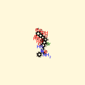 COC1=CC(=O)c2c(O)c3c(c(O)c2C1=O)C(=O)[C@]1(CCc2c1c(O)c1c(=O)[nH]c(C=NN(C(N)=O)c4ccccc4)cc1c2Br)C3=O